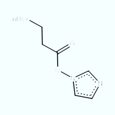 CCCCCCCCC(=O)On1ccnc1